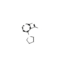 N#CC1=Nc2nccc(N3CCCC3)c21